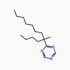 CCCCCCCC(C)(CCCC)c1ncncn1